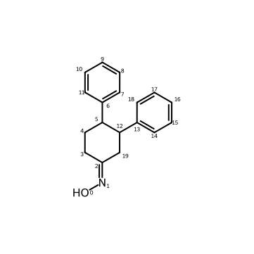 O/N=C1\CCC(c2ccccc2)C(c2ccccc2)C1